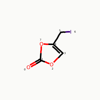 O=c1occ(CI)o1